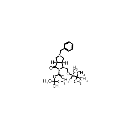 CC(C)(C)OC(=O)N1C(=O)[C@@H]2CN(Cc3ccccc3)C[C@@H]2[C@H]1CO[Si](C)(C)C(C)(C)C